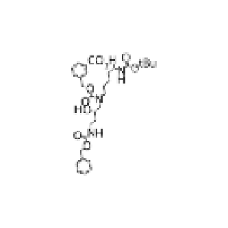 CC(C)(C)OC(=O)N[C@@H](CCCCN(C[C@@H](O)CCNC(=O)OCc1ccccc1)C(=O)OCc1ccccc1)C(=O)O